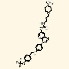 CN1CCN(CCCNC(=O)Oc2cnc3c(c2)ncn3-c2ccc(OCc3ccc(OC(F)(F)F)cc3)cc2)CC1